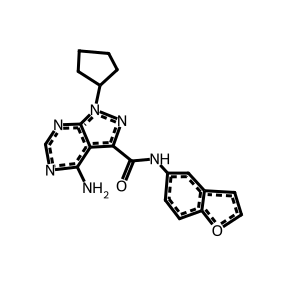 Nc1ncnc2c1c(C(=O)Nc1ccc3occc3c1)nn2C1CCCC1